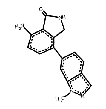 Cn1ncc2ccc(-c3ccc(N)c4c3CNC4=O)cc21